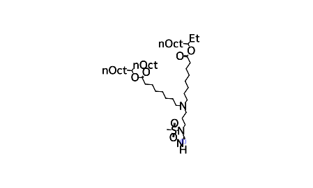 [H]/N=C/N(CCCN(CCCCCCCC(=O)OC(CC)CCCCCCCC)CCCCCCCC(=O)OC(CCCCCCCC)CCCCCCCC)S(C)(=O)=O